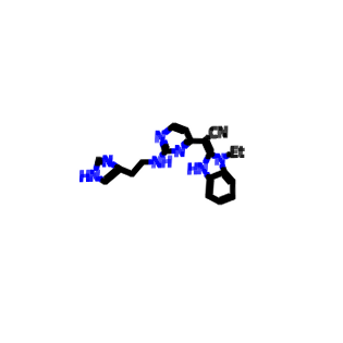 CCN1C(=C(C#N)c2ccnc(NCCc3c[nH]cn3)n2)Nc2ccccc21